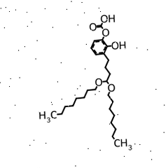 CCCCCCCCOC(CCCc1cccc(OC(=O)O)c1O)OCCCCCCCC